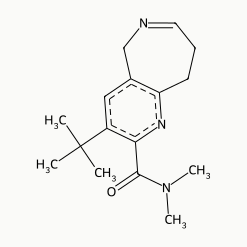 CN(C)C(=O)c1nc2c(cc1C(C)(C)C)CN=CCC2